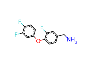 NCc1ccc(Oc2ccc(F)c(F)c2)c(F)c1